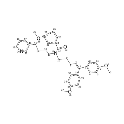 COc1ccc(C(=CCCCN(CCCCc2cccnc2)C(=O)c2cccc(OC)c2)c2ccc(OC)cc2)cc1